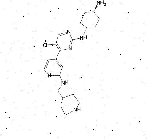 N[C@H]1CC[C@H](Nc2ncc(Cl)c(-c3ccnc(NCC4CCNCC4)c3)n2)CC1